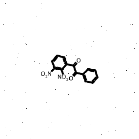 O=C(C(=O)c1cccc([N+](=O)[O-])c1[N+](=O)[O-])c1ccccc1